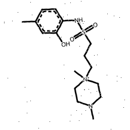 Cc1ccc(NS(=O)(=O)CCC[N+]2(C)CCN(C)CC2)c(O)c1